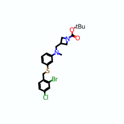 CN(CC1CN(C(=O)OC(C)(C)C)C1)c1cccc(SCc2ccc(Cl)cc2Br)c1